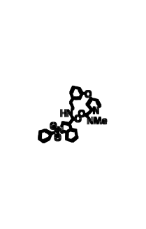 CNC(=O)c1cc(Oc2cccc(CCNC(=O)c3cn(S(=O)(=O)c4ccccc4)c4ccccc34)c2)ccn1